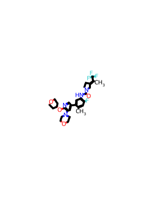 C/C(=C1/CCN(C(=O)Nc2cc(-c3cnc(OC4CCOCC4)c(N4CCOCC4)c3)c(C)cc2F)C1)C(F)(F)F